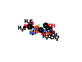 COc1ccc(CN(c2ncns2)S(=O)(=O)c2cc3oc(=O)n(C(C)c4ccccc4C4(O)CN(C(=O)OC(C)(C)C)C4)c3cc2F)c(OC)c1